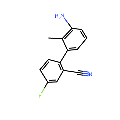 Cc1c(N)cccc1-c1ccc(F)cc1C#N